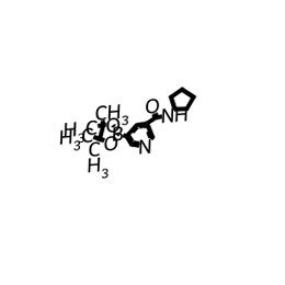 CC1(C)OB(c2cncc(C(=O)NC3CCCC3)c2)OC1(C)C